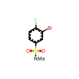 CNS(=O)(=O)c1ccc(F)c(Br)c1